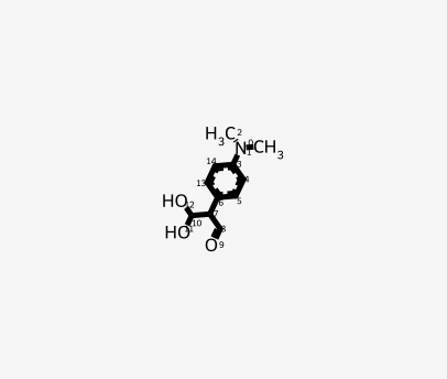 CN(C)c1ccc(C(C=O)C(O)O)cc1